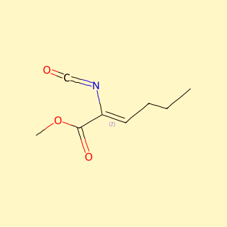 CCC/C=C(\N=C=O)C(=O)OC